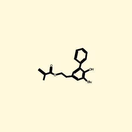 C=C(C)C(=O)OCCc1cc(-c2ccccc2)c(O)c(C(C)(C)C)c1